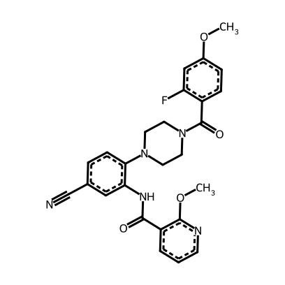 COc1ccc(C(=O)N2CCN(c3ccc(C#N)cc3NC(=O)c3cccnc3OC)CC2)c(F)c1